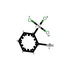 CCCCc1ccccc1[Si](Cl)(Cl)Cl